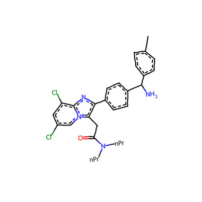 CCCN(CCC)C(=O)Cc1c(-c2ccc(C(N)c3ccc(C)cc3)cc2)nc2c(Cl)cc(Cl)cn12